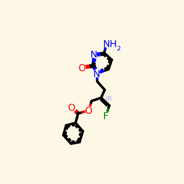 Nc1ccn(CC/C(=C/F)COC(=O)c2ccccc2)c(=O)n1